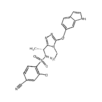 CCn1c(Oc2ccc3cc[nH]c3c2)nnc1[C@@H](C)NS(=O)(=O)c1ccc(C#N)cc1Cl